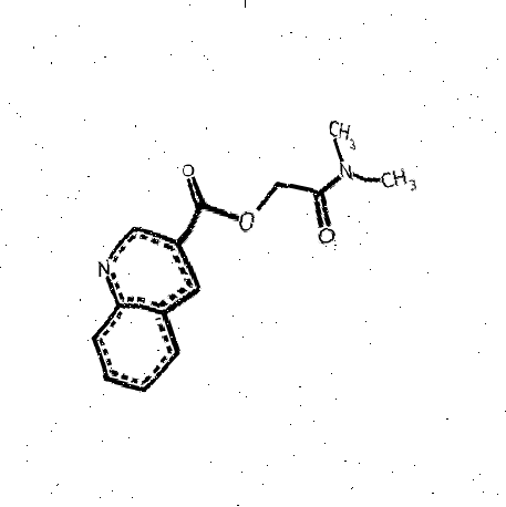 CN(C)C(=O)COC(=O)c1cnc2ccccc2c1